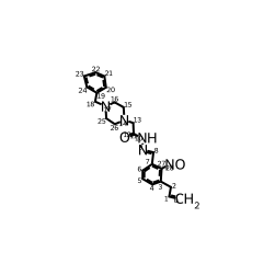 C=CCc1cccc(/C=N/NC(=O)CN2CCN(Cc3ccccc3)CC2)c1N=O